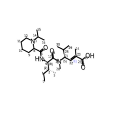 CC[C@@H](C)[C@@H](NC(=O)C1CCCCN1C(C)C)C(=O)N(C)[C@H](/C=C(\C)C(=O)O)C(C)C